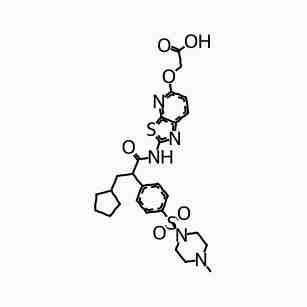 CN1CCN(S(=O)(=O)c2ccc(C(CC3CCCC3)C(=O)Nc3nc4ccc(OCC(=O)O)nc4s3)cc2)CC1